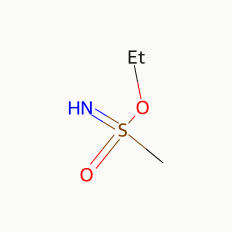 CCOS(C)(=N)=O